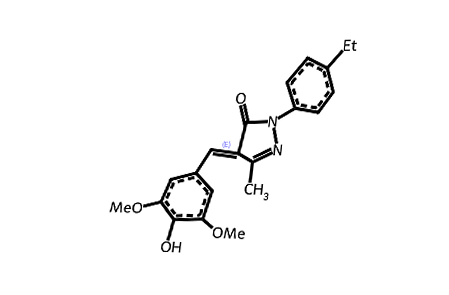 CCc1ccc(N2N=C(C)/C(=C\c3cc(OC)c(O)c(OC)c3)C2=O)cc1